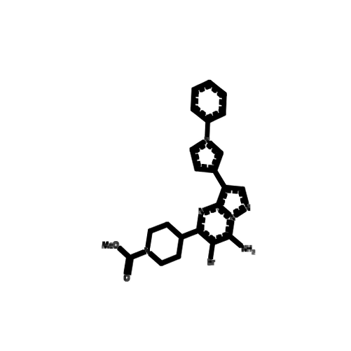 COC(=O)N1CCC(c2nc3c(-c4ccn(-c5ccccc5)c4)cnn3c(N)c2Br)CC1